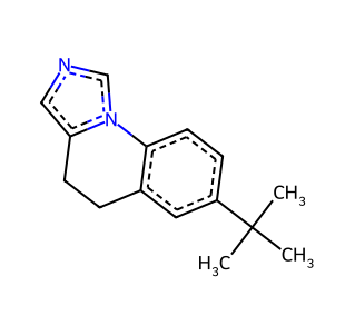 CC(C)(C)c1ccc2c(c1)CCc1cncn1-2